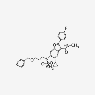 CNC(=O)c1c(-c2ccc(F)cc2)oc2cc(N(CCCOCc3ccccc3)S(C)(=O)=O)c(C3CC3)cc12